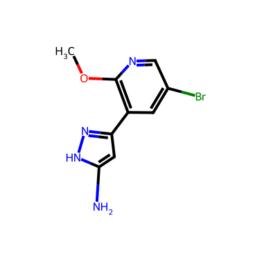 COc1ncc(Br)cc1-c1cc(N)[nH]n1